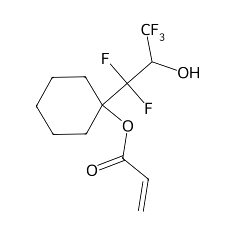 C=CC(=O)OC1(C(F)(F)C(O)C(F)(F)F)CCCCC1